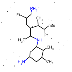 CCCCC(C(C)C)C(C)C(CC(CC)CN)C(C)NC1CC(N)CC(C)C1C